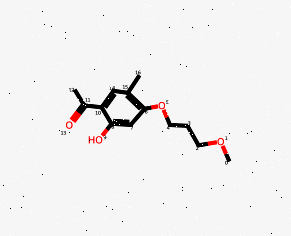 COCCCOc1cc(O)c(C(C)=O)cc1C